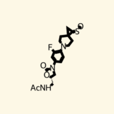 CC(=O)NC[C@H]1CN(c2ccc(N3CCC4(CC3)CC4=S=O)c(F)c2)C(=O)O1